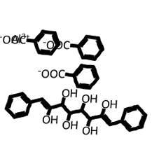 O=C([O-])c1ccccc1.O=C([O-])c1ccccc1.O=C([O-])c1ccccc1.OC(=Cc1ccccc1)C(O)C(O)C(O)C(O)C(O)=Cc1ccccc1.[Al+3]